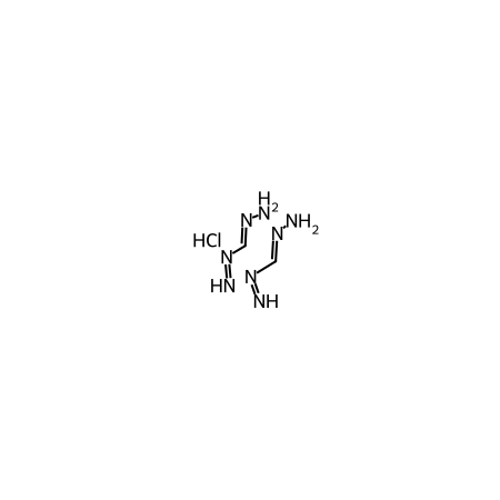 Cl.N=NC=NN.N=NC=NN